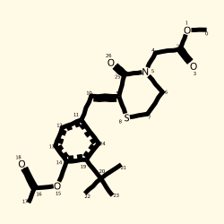 COC(=O)CN1CCSC(=Cc2ccc(OC(C)=O)c(C(C)(C)C)c2)C1=O